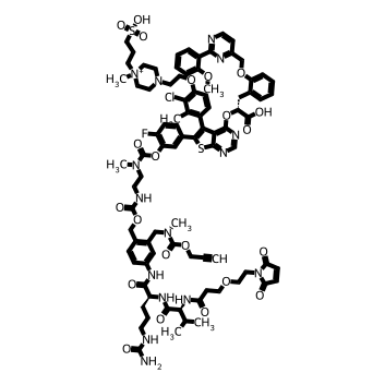 C#CCOC(=O)N(C)Cc1cc(NC(=O)[C@H](CCCNC(N)=O)NC(=O)[C@@H](NC(=O)CCOCCN2C(=O)C=CC2=O)C(C)C)ccc1COC(=O)NCCN(C)C(=O)Oc1cc(-c2sc3ncnc(O[C@H](Cc4ccccc4OCc4ccnc(-c5ccccc5OC)n4)C(=O)O)c3c2-c2ccc(OCCN3CC[N+](C)(CCCS(=O)(=O)O)CC3)c(Cl)c2C)ccc1F